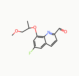 COCC(C)Oc1cc(F)cc2ccc(C=O)nc12